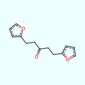 O=C(CCc1ccco1)CCc1ccco1